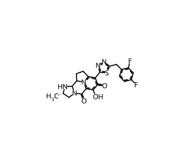 C[C@H]1CN2C(=O)c3c(O)c(=O)c(-c4nnc(Cc5ccc(F)cc5F)s4)c4n3C(CC4)C2N1